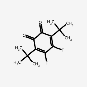 CC(C)(C)C1=C(F)C(F)=C(C(C)(C)C)C(=O)C1=O